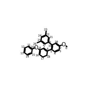 COc1ccc(C2=CC(Oc3ccccc3)=CC[CH]2)c(-c2cc(C)cc(C)c2)c1